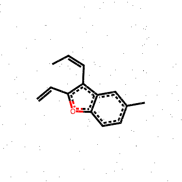 C=Cc1oc2ccc(C)cc2c1/C=C\C